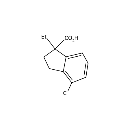 CCC1(C(=O)O)CCc2c(Cl)cccc21